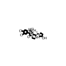 CS(=O)(=O)C(C(=O)N1CCN[C@@H](CN2CC[C@H](O)C2)C1)c1ccc(Cl)c(Cl)c1.Cl